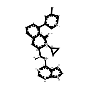 Cc1cncc(-c2cccc3cc([C@H](C)Nc4ncnc5scnc45)n(C4CC4)c(=O)c23)c1